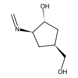 C=N[C@@H]1C[C@H](CO)C[C@H]1O